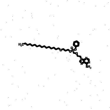 CCCCCCCCCCCCCCCCOCCCOP(=O)(COCCn1cnc2c(N)ncnc21)Oc1ccccc1